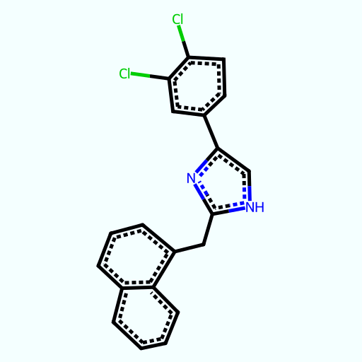 Clc1ccc(-c2c[nH]c(Cc3cccc4ccccc34)n2)cc1Cl